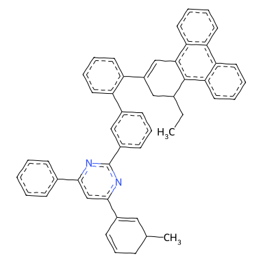 CCC1CC(c2ccccc2-c2cccc(-c3nc(C4=CC(C)CC=C4)cc(-c4ccccc4)n3)c2)=Cc2c1c1ccccc1c1ccccc21